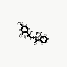 O=C(NCC(F)(F)c1ccc(Cl)cc1Cl)c1ccccc1C(F)(F)F